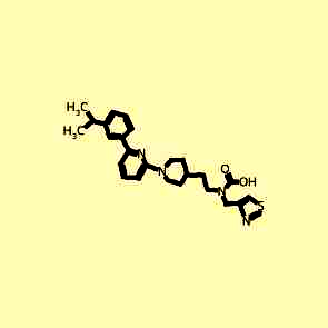 CC(C)c1cccc(-c2cccc(N3CCC(CCN(Cc4cscn4)C(=O)O)CC3)n2)c1